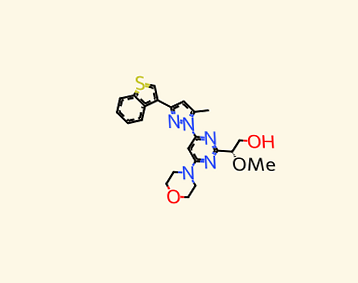 CO[C@@H](CO)c1nc(N2CCOCC2)cc(-n2nc(-c3csc4ccccc34)cc2C)n1